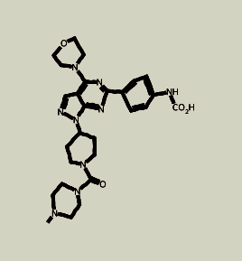 CN1CCN(C(=O)N2CCC(n3ncc4c(N5CCOCC5)nc(-c5ccc(NC(=O)O)cc5)nc43)CC2)CC1